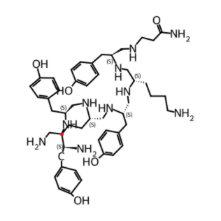 NCCCC[C@@H](CN[C@H](CNCCC(N)=O)Cc1ccc(O)cc1)NC[C@H](Cc1ccc(O)cc1)NC[C@H](CCCCN)NC[C@H](Cc1ccc(O)cc1)NC[C@@H](N)Cc1ccc(O)cc1